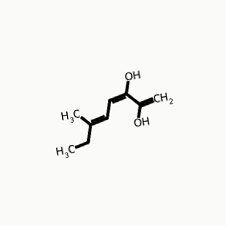 C=C(O)/C(O)=C\C=C(/C)CC